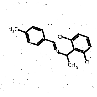 Cc1ccc(C=NC(C)c2c(Cl)cccc2Cl)cc1